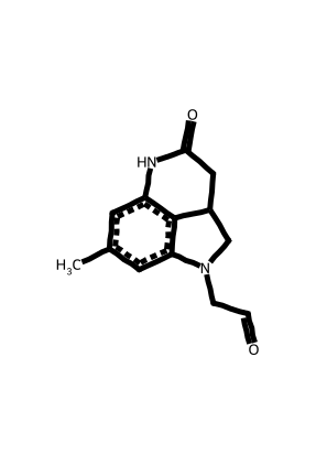 Cc1cc2c3c(c1)N(CC=O)CC3CC(=O)N2